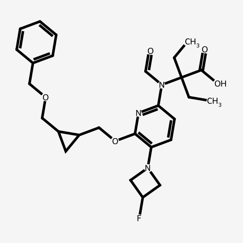 CCC(CC)(C(=O)O)N(C=O)c1ccc(N2CC(F)C2)c(OCC2CC2COCc2ccccc2)n1